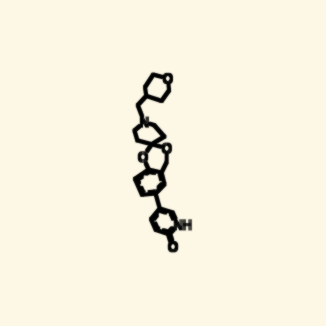 O=c1ccc(-c2ccc3c(c2)COC2(CCN(CC4CCOCC4)CC2)O3)c[nH]1